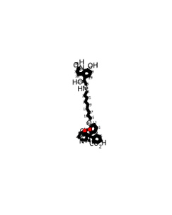 O=C(O)NC(c1ccccc1)(c1cccc(OCCCCCCCCCNC[C@H](O)c2ccc(O)c3[nH]c(=O)ccc23)c1Cl)[C@H]1CN2CCC1CC2